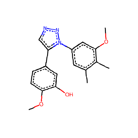 COc1ccc(-c2cnnn2-c2cc(C)c(C)c(OC)c2)cc1O